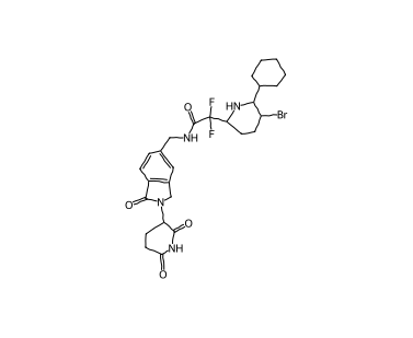 O=C1CCC(N2Cc3cc(CNC(=O)C(F)(F)C4CCC(Br)C(C5CCCCC5)N4)ccc3C2=O)C(=O)N1